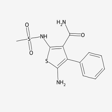 CS(=O)(=O)Nc1sc(N)c(-c2ccccc2)c1C(N)=O